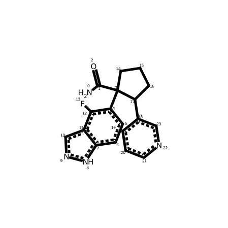 NC(=O)C1(c2ccc3[nH]ncc3c2F)CCCC1c1cccnc1